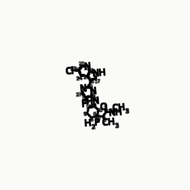 CNC(=O)C(C)[C@@]1(P)CCC[C@@H](Nc2nc(-c3c[nH]c4ncc(Cl)cc34)ncc2F)C1